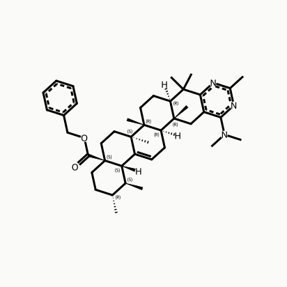 Cc1nc(N(C)C)c2c(n1)C(C)(C)[C@@H]1CC[C@]3(C)[C@H](CC=C4[C@@H]5[C@@H](C)[C@H](C)CC[C@]5(C(=O)OCc5ccccc5)CC[C@]43C)[C@@]1(C)C2